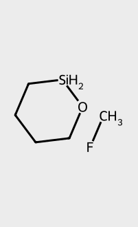 C1CC[SiH2]OC1.CF